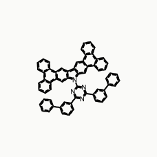 c1ccc(-c2cccc(-c3nc(-c4cccc(-c5ccccc5)c4)nc(-n4c5cc6c7ccccc7c7ccccc7c6cc5c5cc6c7ccccc7c7ccccc7c6cc54)n3)c2)cc1